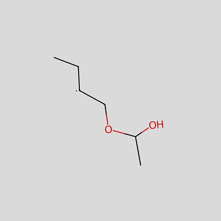 CC[CH]COC(C)O